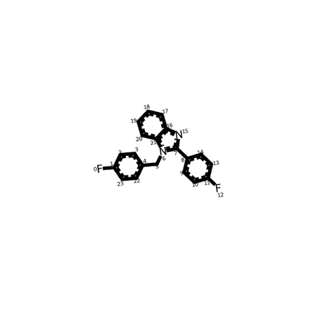 Fc1ccc(Cn2c(-c3ccc(F)cc3)nc3ccccc32)cc1